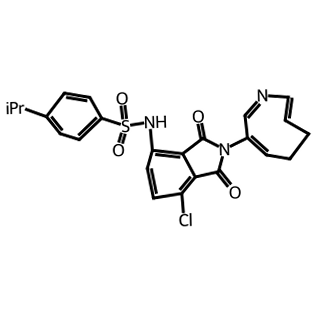 CC(C)c1ccc(S(=O)(=O)Nc2ccc(Cl)c3c2C(=O)N(C2=C/CC/C=C/N=C\2)C3=O)cc1